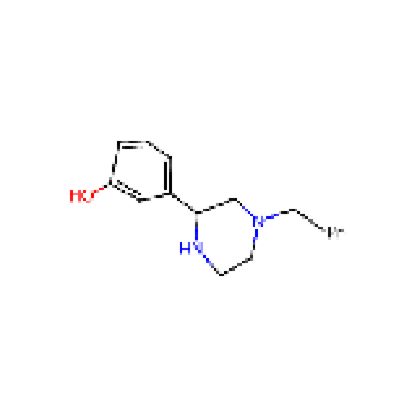 C[C](C)CN1CCNC(c2cccc(O)c2)C1